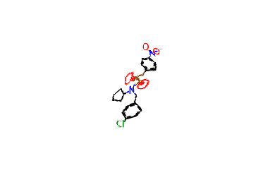 O=[N+]([O-])c1ccc(S(=O)(=O)N(Cc2ccc(Cl)cc2)C2CCCC2)cc1